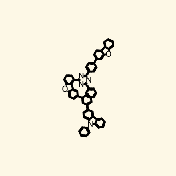 c1ccc(-c2nc(-c3ccc(-c4ccc5c(c4)oc4ccccc45)cc3)nc(-c3cccc4oc5ccc(-c6cccc(-c7ccc8c(c7)c7ccccc7n8-c7ccccc7)c6)cc5c34)n2)cc1